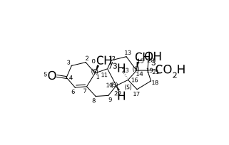 C[C@]12CCC(=O)C=C1CC[C@@H]1C2=CC[C@@]2(C)[C@H]1CCC2(O)C(=O)O